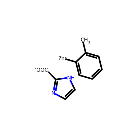 Cc1cccc[c]1[Zn+].O=C([O-])c1ncc[nH]1